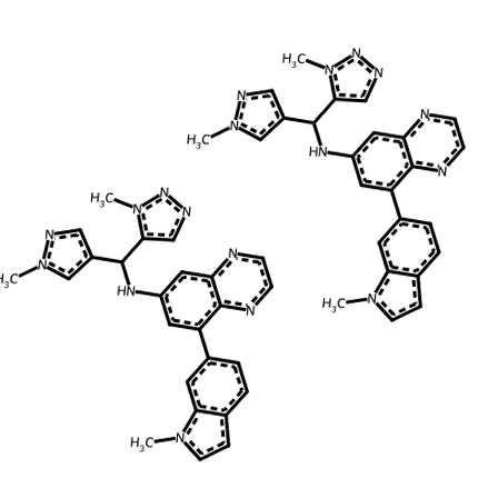 Cn1cc(C(Nc2cc(-c3ccc4ccn(C)c4c3)c3nccnc3c2)c2cnnn2C)cn1.Cn1cc(C(Nc2cc(-c3ccc4ccn(C)c4c3)c3nccnc3c2)c2cnnn2C)cn1